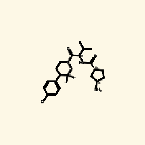 CC(C)[C@@H](NC(=O)[C@@H]1CC[C@@H](N)C1)C(=O)N1CCC(c2ccc(Cl)cc2)C(C)(C)C1